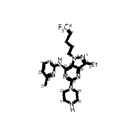 CCc1nn(CCCCC(F)(F)F)c2c(Nc3nccc(C)n3)nc(N3CCNCC3)nc12